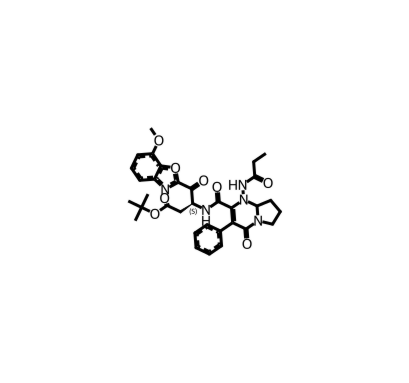 CCC(=O)NN1C(C(=O)N[C@@H](CC(=O)OC(C)(C)C)C(=O)c2nc3cccc(OC)c3o2)=C(c2ccccc2)C(=O)N2CCCC21